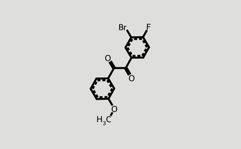 COc1cccc(C(=O)C(=O)c2ccc(F)c(Br)c2)c1